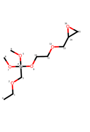 CCOC[Si](OC)(OC)OCCOCC1CO1